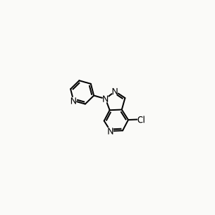 Clc1cncc2c1cnn2-c1cccnc1